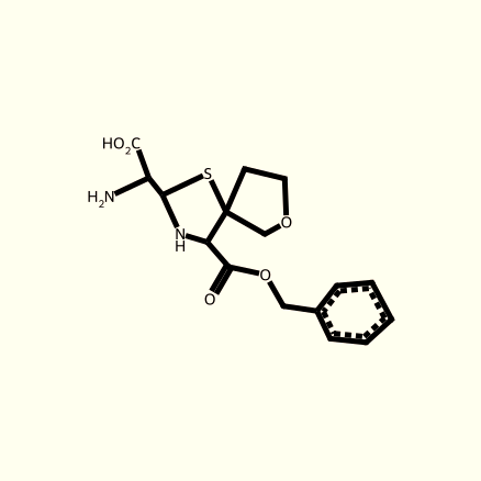 NC(C(=O)O)C1NC(C(=O)OCc2ccccc2)C2(CCOC2)S1